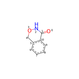 O=C1NOCc2ccccc21